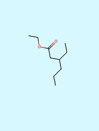 CCCC(CC)CC(=O)OCC